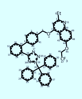 CCc1cc(OCc2ccc(-c3ccccc3-c3nnn(C(c4ccccc4)(c4ccccc4)c4ccccc4)n3)cc2)c2cc(OCC(F)(F)F)ccc2n1